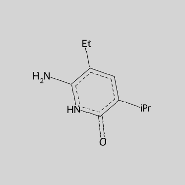 CCc1cc(C(C)C)c(=O)[nH]c1N